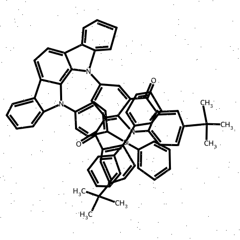 CC(C)(C)c1ccc2c(c1)c(=O)c1cc(-n3c4ccccc4c4ccc5c6ccccc6n(-c6ccc([Si](c7ccccc7)(c7ccccc7)c7ccccc7)cc6)c5c43)cc3c(=O)c4cc(C(C)(C)C)ccc4n2c13